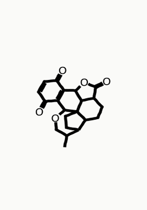 CC1COC2C3=C(C(=O)C=CC3=O)C3OC(=O)C4CCC5C1CCC25C43